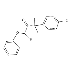 CC(C)(C(=O)C(Br)Oc1ccccc1)c1ccc(Cl)cc1